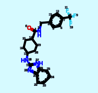 O=C(NCc1ccc(C(F)(F)F)cc1)C1CCC(Nc2nc3ccccc3[nH]2)CC1